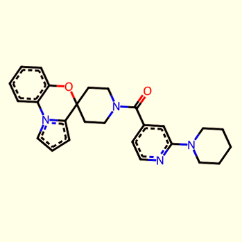 O=C(c1ccnc(N2CCCCC2)c1)N1CCC2(CC1)Oc1ccccc1-n1cccc12